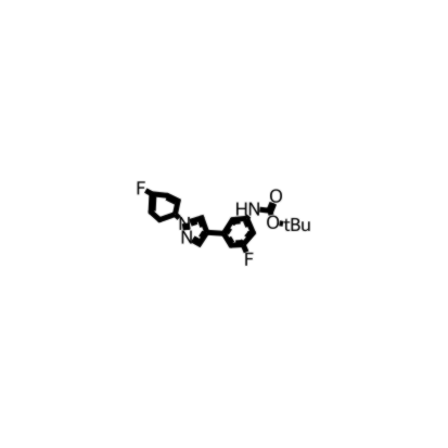 CC(C)(C)OC(=O)Nc1cc(F)cc(-c2cnn(C3C=CC(F)=CC3)c2)c1